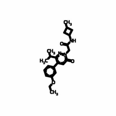 CCOc1cccc(-c2cc(=O)n(CC(=O)NC3CC(C)C3)nc2C(C)C)c1